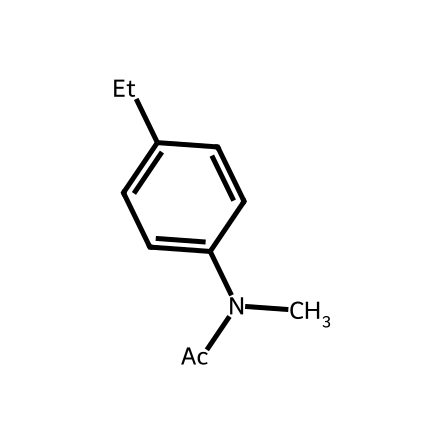 CCc1ccc(N(C)C(C)=O)cc1